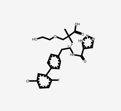 CC(COCCO)(C[C@@H](Cc1ccc(-c2cc(Cl)ccc2F)cc1)NC(=O)c1cnn[nH]1)C(=O)O